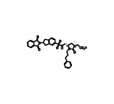 O=C(O)C[C@@H]1C[C@@H](CNS(=O)(=O)c2ccc3c(c2)CC(N2C(=O)c4ccccc4C2=O)C3)N(CCCc2ccccc2)C1=O